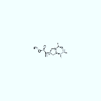 CC1=N[C@@H](C)C(C)=C2C[C@@H](NC(=O)OC(C)C)CN12